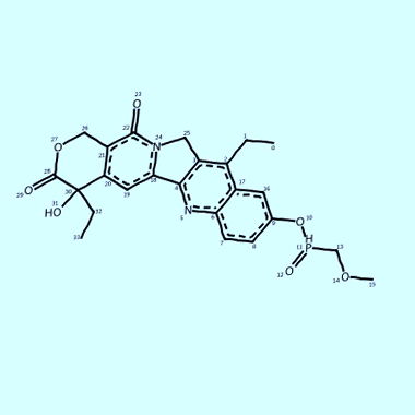 CCc1c2c(nc3ccc(O[PH](=O)COC)cc13)-c1cc3c(c(=O)n1C2)COC(=O)C3(O)CC